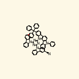 N#Cc1ccc2c(c1)c1ccccc1n2-c1nc(-n2c3ccccc3c3ccccc32)nc(-n2c3cc(C(c4ccccc4)(c4ccccc4)c4ccccc4)ccc3c3ccc4c(c5ccccc5n4-c4ccccc4)c32)n1